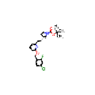 CC(C)(C)OC(=O)N1CC[C@@H](CCc2cccc(OCc3ccc(Cl)cc3F)n2)C1